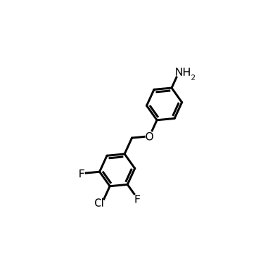 Nc1ccc(OCc2cc(F)c(Cl)c(F)c2)cc1